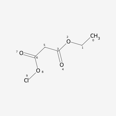 CCOC(=O)CC(=O)OCl